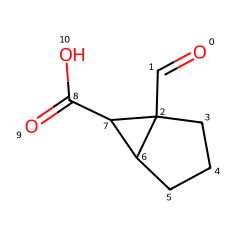 O=CC12CCCC1C2C(=O)O